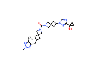 Cn1nc(CC2CC3(C2)CN(C(=O)N2CC4(CC(n5cnc(C6(O)CC6)n5)C4)C2)C3)c(C(F)(F)F)n1